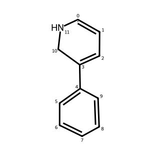 [C]1=CC=C(c2ccccc2)CN1